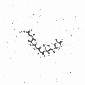 CCCC(=O)N(C)[C@H](C)C(=O)N(C)[C@@H](CC(C)C)C(=O)NC(=O)N(C)C(=O)NC(=O)NC(C)C(=O)N(C)[C@H](C)C(=O)NC